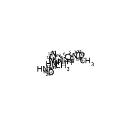 C[C@@H]1CN(c2ccc(C3=Cc4nccnc4[C@@](C)(NC[C@@H]4CNCCO4)N3)cc2F)CCO1